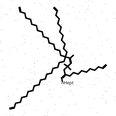 C=CCCCCCCCCCCCCCCCCC(CCCCCCCCCCC=C)(CCCCCCCCCCCCCCC=C)C(C)=CC(C)(C)CC(=CCCCCCCC)CCCCCCCCC=C